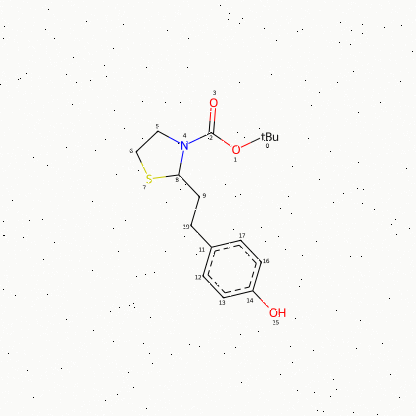 CC(C)(C)OC(=O)N1CCSC1CCc1ccc(O)cc1